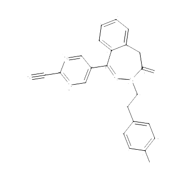 N#Cc1ncc(C2=NN(CCc3ccc(Cl)cc3)C(=O)Cc3ccccc32)cn1